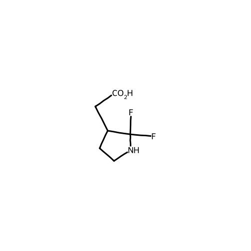 O=C(O)CC1CCNC1(F)F